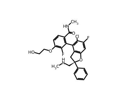 CNC[C@@]1(c2ccccc2)Cc2c(cc(F)c(Cl)c2-c2c(C(=O)NC)ccc(OCCO)c2F)O1